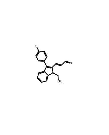 CCn1c(/C=C/C=O)c(-c2ccc(F)cc2)c2ccccc21